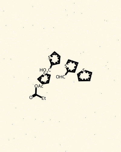 CCC(=O)OC(C)=O.O=C(O)c1cccs1.O=Cc1cccs1.c1ccsc1.c1ccsc1